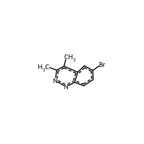 Cc1nnc2ccc(Br)cc2c1C